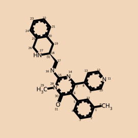 Cc1cccc(-c2c(-c3ccncc3)nc(N=C[C@@H]3Cc4ccccc4CN3)n(C)c2=O)c1